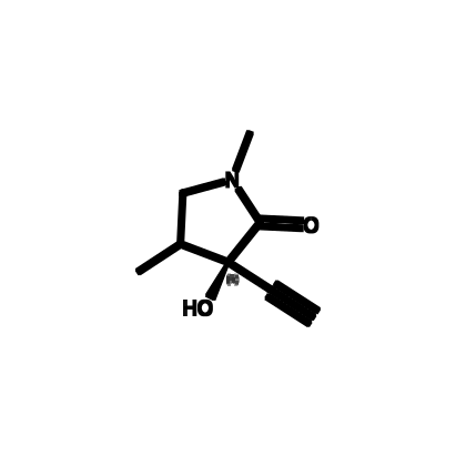 C#C[C@@]1(O)C(=O)N(C)CC1C